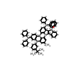 Cc1cc2c3c(c1)-n1c4c(ccc(N(c5ccccc5)c5ccccc5)c4c4c1c1ccccc1n4-c1ccccc1)B3c1ccc(N(c3ccccc3)c3ccccc3)cc1N2c1cccc(C(C)(C)C)c1